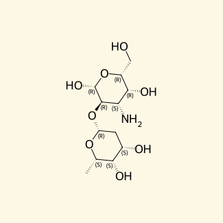 C[C@@H]1O[C@H](O[C@@H]2[C@@H](N)[C@@H](O)[C@@H](CO)O[C@H]2O)C[C@H](O)[C@@H]1O